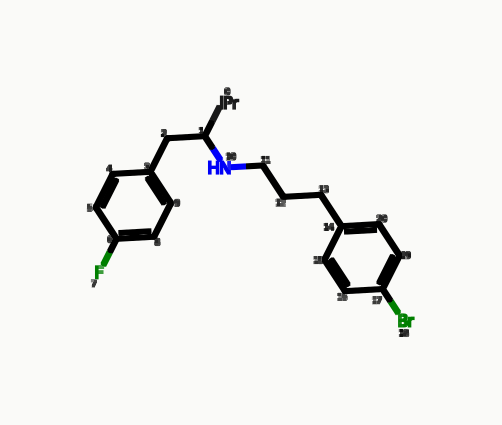 CC(C)C(Cc1ccc(F)cc1)NCCCc1ccc(Br)cc1